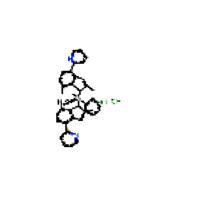 CC1=Cc2c(-c3ccccn3)ccc(C)c2[CH]1[Zr]([CH3])(=[SiH2])([c]1ccccc1)[CH]1C(C)=Cc2c(-c3ccccn3)ccc(C)c21.Cl.Cl